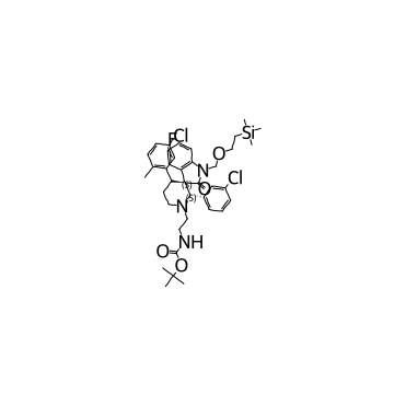 Cc1ccc(F)cc1C1CCN(CCNC(=O)OC(C)(C)C)[C@@H](c2cccc(Cl)c2)[C@]12C(=O)N(COCC[Si](C)(C)C)c1cc(Cl)ccc12